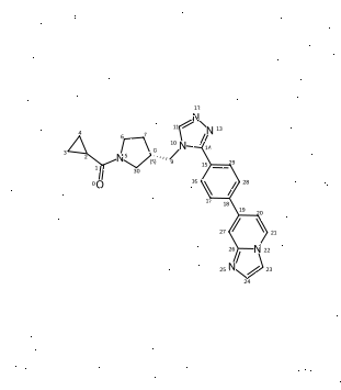 O=C(C1CC1)N1CC[C@H](Cn2cnnc2-c2ccc(-c3ccn4ccnc4c3)cc2)C1